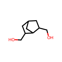 OCC1CC2CC(CO)C1C2